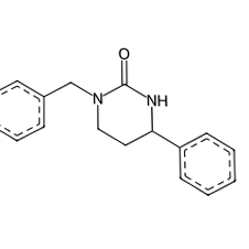 O=C1NC(c2ccccc2)CCN1Cc1ccccc1